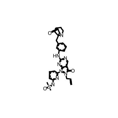 C=CCn1c(=O)c2cnc(Nc3cccc(CC4C(=O)C5CCN4CC5)c3)nc2n1-c1cccc(N=S(C)(C)=O)n1